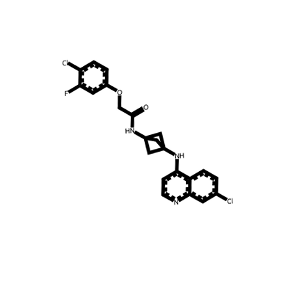 O=C(COc1ccc(Cl)c(F)c1)NC12CC(Nc3ccnc4cc(Cl)ccc34)(C1)C2